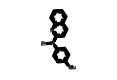 CC(C)N(c1ccc(C(C)(C)C)cc1)c1ccc2ccccc2n1